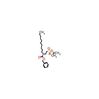 CCCCCCCCCCN(CCS(=O)(=O)OC(C)C)C(=O)OCc1ccccc1